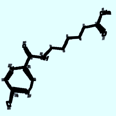 COC(=O)CCCCCNC(=O)c1cnc(Cl)cn1